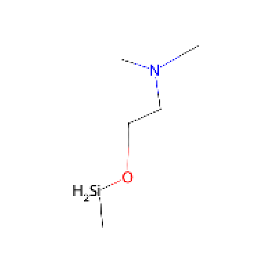 C[SiH2]OCCN(C)C